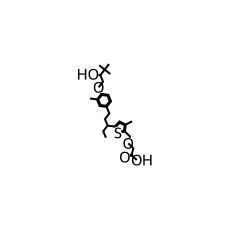 CCC(CCc1ccc(OCC(O)C(C)(C)C)c(C)c1)c1cc(C)c(COCC(=O)O)s1